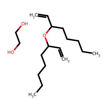 C=CC(CCCCC)OC(C=C)CCCCC.OCCO